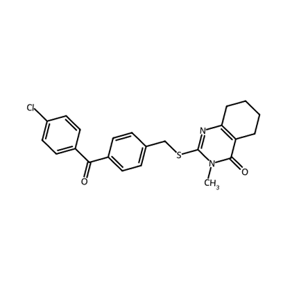 Cn1c(SCc2ccc(C(=O)c3ccc(Cl)cc3)cc2)nc2c(c1=O)CCCC2